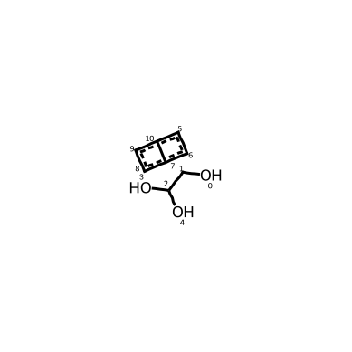 OCC(O)O.c1cc2ccc1-2